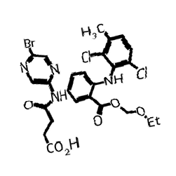 CCOCOC(=O)c1ccccc1Nc1c(Cl)ccc(C)c1Cl.O=C(O)CCC(=O)Nc1cnc(Br)cn1